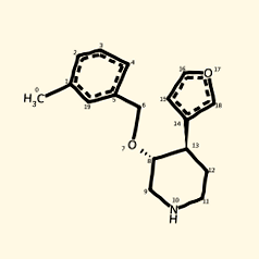 Cc1cccc(CO[C@H]2CNCC[C@@H]2c2ccoc2)c1